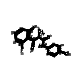 CN(C(=O)Nc1ccc(Cl)cc1)C(=O)c1c(F)cccc1F